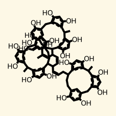 C/C(=C/C(/C=C\C(/C=C\CC1CCc2cc(c(O)cc2O)Cc2cc(c(O)cc2O)C(C)c2cc1c(O)cc2O)C1CCc2cc(c(O)cc2O)Cc2cc(c(O)cc2O)C(C)c2cc1c(O)cc2O)C1CCc2cc(c(O)cc2O)Cc2cc(c(O)cc2O)C(C)c2cc1c(O)cc2O)C(O)/C=C/O